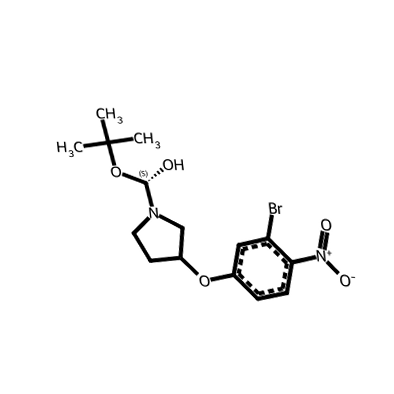 CC(C)(C)O[C@H](O)N1CCC(Oc2ccc([N+](=O)[O-])c(Br)c2)C1